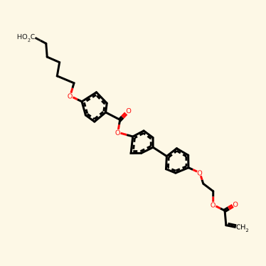 C=CC(=O)OCCOc1ccc(-c2ccc(OC(=O)c3ccc(OCCCCCC(=O)O)cc3)cc2)cc1